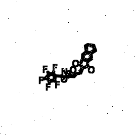 O=C1C(=Cc2cc3oc(-c4c(F)c(F)c(F)c(F)c4F)nc3o2)C(=O)c2cc3ccccc3cc21